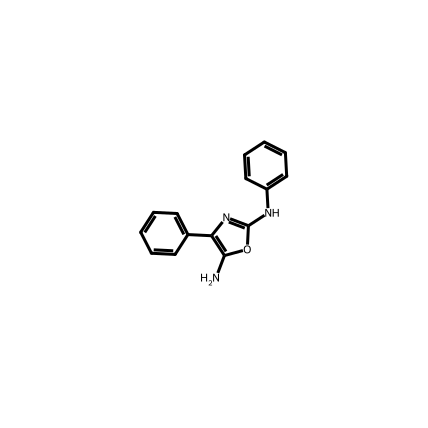 Nc1oc(Nc2ccccc2)nc1-c1ccccc1